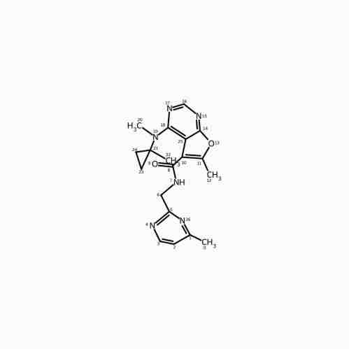 Cc1ccnc(CNC(=O)c2c(C)oc3ncnc(N(C)C4(C)CC4)c23)n1